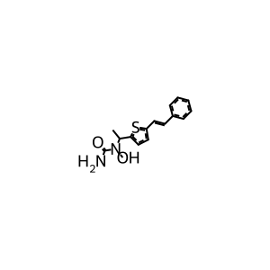 CC(c1ccc(C=Cc2ccccc2)s1)N(O)C(N)=O